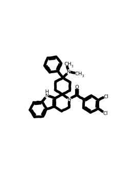 CN(C)C1(c2ccccc2)CCC2(CC1)c1[nH]c3ccccc3c1CCN2C(=O)c1ccc(Cl)c(Cl)c1